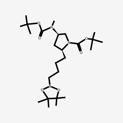 CN(C(=O)OC(C)(C)C)[C@@H]1C[C@H](CCCCB2OC(C)(C)C(C)(C)O2)N(C(=O)OC(C)(C)C)C1